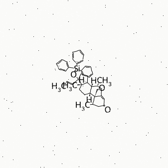 CC=CC1(O[Si](c2ccccc2)(c2ccccc2)c2ccccc2)CC[C@H]2[C@@H]3C(C)CC4=CC(=O)CC(C)[C@]4(C=O)[C@@H]3CC[C@@]21C